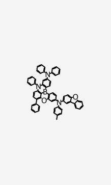 Cc1ccc(N(c2ccc3c(c2)Oc2c(-c4ccccc4)ccc4c2B3c2ccc(N(c3ccccc3)c3ccccc3)cc2N4c2ccccc2)c2ccc3oc4ccccc4c3c2)cc1